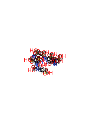 Nc1c(N=Nc2ccc3c(O)c(/N=N\c4cc(S(=O)(=O)O)c(/N=N/c5c(C(=O)O)nn(-c6ccc(S(=O)(=O)O)cc6)c5O)cc4S(=O)(=O)O)c(S(=O)(=O)O)cc3c2S(=O)(=O)O)cc(S(=O)(=O)O)c2cc(S(=O)(=O)O)c(/N=N\c3ccc(S(=O)(=O)O)cc3[N+](=O)[O-])c(O)c12